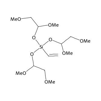 C=C[Si](OC(COC)OC)(OC(COC)OC)OC(COC)OC